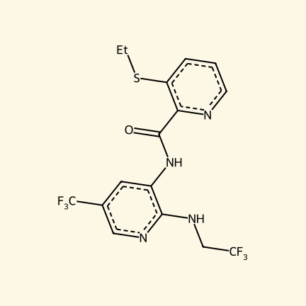 CCSc1cccnc1C(=O)Nc1cc(C(F)(F)F)cnc1NCC(F)(F)F